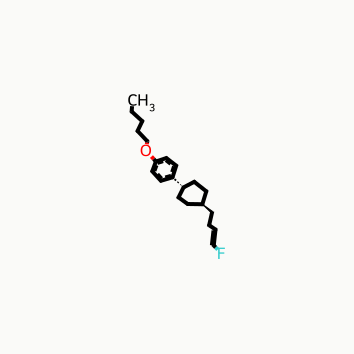 CCCCCOc1ccc([C@H]2CC[C@H](CCC=CF)CC2)cc1